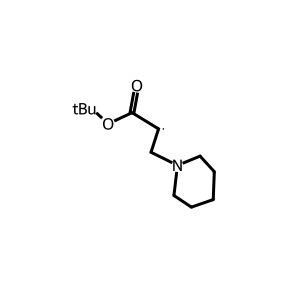 CC(C)(C)OC(=O)[CH]CN1CCCCC1